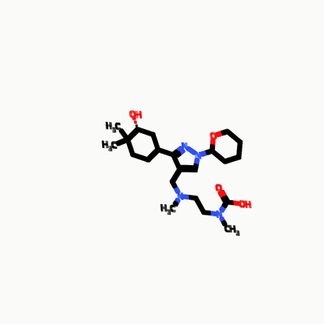 CN(CCN(C)C(=O)O)Cc1cn(C2CCCCO2)nc1C1CCC(C)(C)[C@H](O)C1